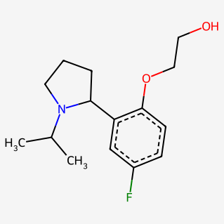 CC(C)N1CCCC1c1cc(F)ccc1OCCO